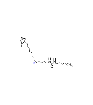 CCCCCNC(=O)NCCCC/C=C\CCCCCCCc1nnc[nH]1